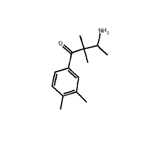 Cc1ccc(C(=O)C(C)(C)C(C)N)cc1C